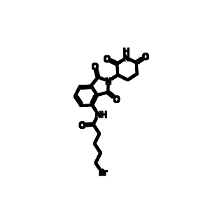 O=C1CCC(N2C(=O)c3cccc(NC(=O)CCCCBr)c3C2=O)C(=O)N1